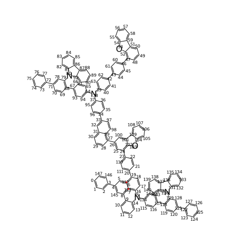 c1ccc(-c2cccc(-c3ccccc3N(c3ccc(-c4ccc(-c5cc(-c6cccc7cc(-c8ccc(N(c9ccc(-c%10ccc(-c%11cccc%12c%11oc%11ccccc%11%12)cc%10)cc9)c9ccc(-c%10ccc(-c%11ccccc%11)cc%10-n%10c%11ccccc%11c%11ccccc%11%10)cc9)cc8)ccc67)cc6c5oc5ccccc56)cc4)cc3)c3ccc(-c4ccc(-c5ccccc5)cc4-n4c5ccccc5c5ccccc54)cc3)c2)cc1